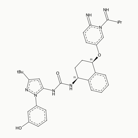 CC(C)C(=N)n1cc(O[C@@H]2CC[C@H](NC(=O)Nc3cc(C(C)(C)C)nn3-c3cccc(O)c3)c3ccccc32)ccc1=N